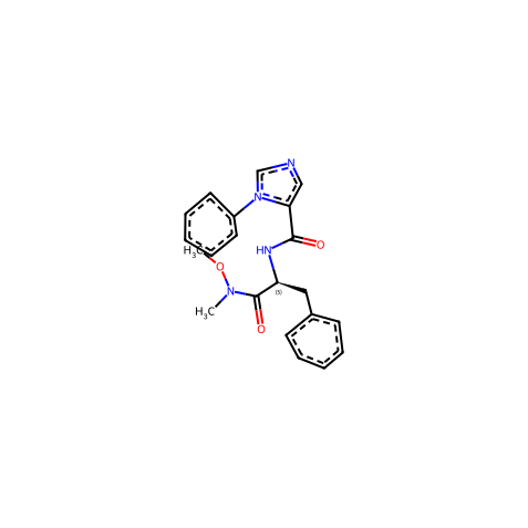 CON(C)C(=O)[C@H](Cc1ccccc1)NC(=O)c1cncn1-c1ccccc1